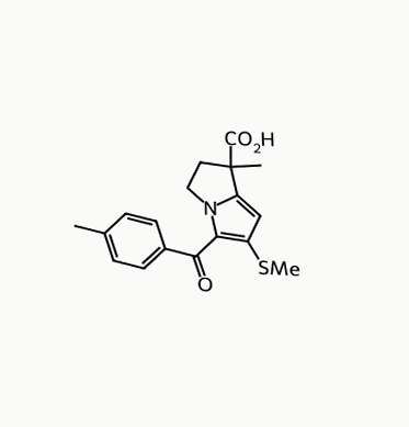 CSc1cc2n(c1C(=O)c1ccc(C)cc1)CCC2(C)C(=O)O